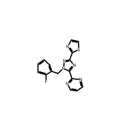 Fc1ccccc1Cn1nc(-c2nccs2)nc1-c1ncccn1